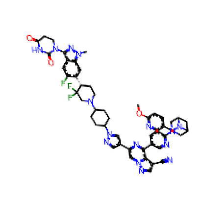 COc1ccc(CN2C3CC2CN(c2ccc(-c4nc(-c5cnn(C6CCC(N7CC[C@@H](c8cc9c(cc8F)c(N8CCC(=O)NC8=O)nn9C)C(F)(F)C7)CC6)c5)cn5ncc(C#N)c45)cn2)C3)cn1